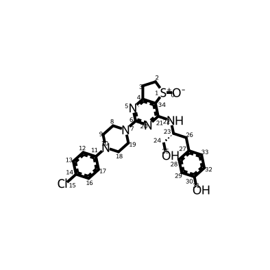 [O-][S+]1CCc2nc(N3CCN(c4ccc(Cl)cc4)CC3)nc(N[C@@H](CO)Cc3ccc(O)cc3)c21